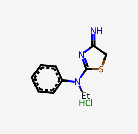 CCN(C1=NC(=N)CS1)c1ccccc1.Cl